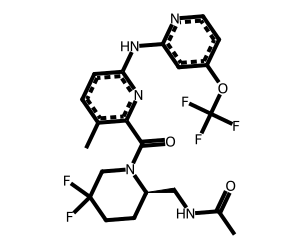 CC(=O)NC[C@H]1CCC(F)(F)CN1C(=O)c1nc(Nc2cc(OC(F)(F)F)ccn2)ccc1C